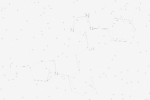 CN1CC2CC1CN2c1ccccc1CNc1nnnn1-c1cccc(Cl)c1Cl